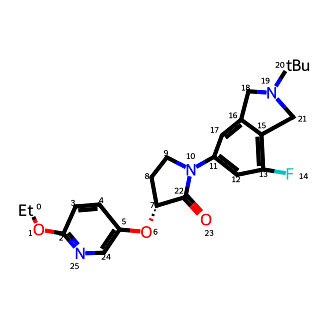 CCOc1ccc(O[C@@H]2CCN(c3cc(F)c4c(c3)CN(C(C)(C)C)C4)C2=O)cn1